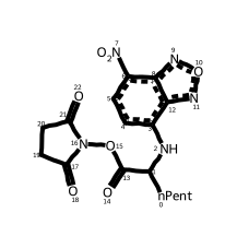 CCCCCC(Nc1ccc([N+](=O)[O-])c2nonc12)C(=O)ON1C(=O)CCC1=O